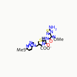 CO/N=C(\C(=O)NC1C(=O)N2C(C(=O)[O-])=C(Cn3cn[n+]4nc(SC)ccc34)CS[C@H]12)c1nsc(N)n1